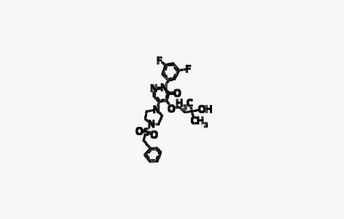 CC(C)(O)CCOc1c(N2CCN(S(=O)(=O)Cc3ccccc3)CC2)cnn(-c2cc(F)cc(F)c2)c1=O